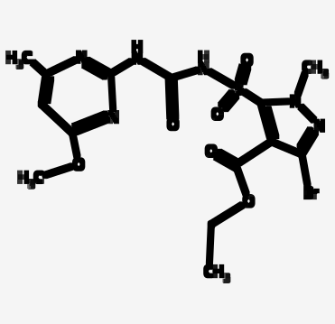 CCOC(=O)c1c(Br)nn(C)c1S(=O)(=O)NC(=O)Nc1nc(C)cc(OC)n1